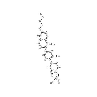 CCCCCc1ccc2c(F)c(-c3ccc(-c4ccc(OC(F)(F)F)cc4)c(F)c3)ccc2c1